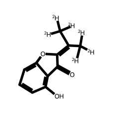 [2H]C([2H])([2H])C(=C1Oc2cccc(O)c2C1=O)C([2H])([2H])[2H]